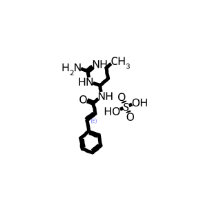 CCCC(NC(=N)N)NC(=O)/C=C/c1ccccc1.O=S(=O)(O)O